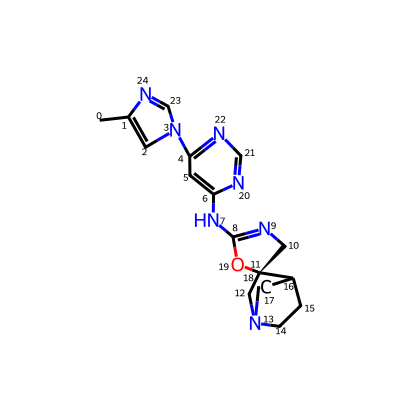 Cc1cn(-c2cc(NC3=NC[C@@]4(CN5CCC4CC5)O3)ncn2)cn1